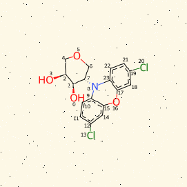 O[C@H]1[C@@H](O)COC[C@@H]1N1c2ccc(Cl)cc2Oc2cc(Cl)ccc21